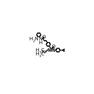 CN(C)CCNC(C(=O)Nc1ccc(C2CC2)cc1)c1ccc(/C=C/C(=O)Nc2ccccc2N)cc1